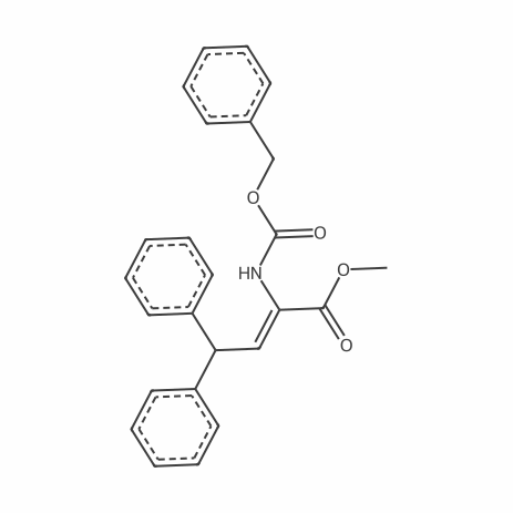 COC(=O)C(=CC(c1ccccc1)c1ccccc1)NC(=O)OCc1ccccc1